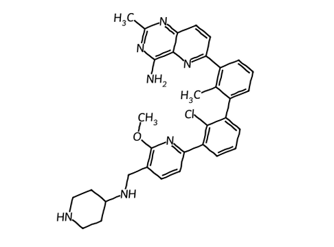 COc1nc(-c2cccc(-c3cccc(-c4ccc5nc(C)nc(N)c5n4)c3C)c2Cl)ccc1CNC1CCNCC1